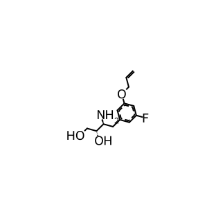 C=CCOc1cc(F)cc(C[C@H](N)[C@H](O)CO)c1